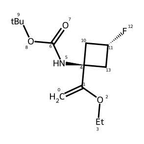 C=C(OCC)[C@]1(NC(=O)OC(C)(C)C)C[C@H](F)C1